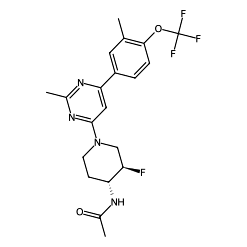 CC(=O)N[C@@H]1CCN(c2cc(-c3ccc(OC(F)(F)F)c(C)c3)nc(C)n2)C[C@H]1F